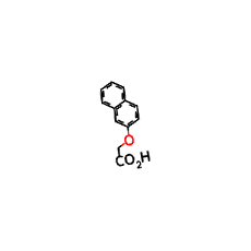 O=C(O)COc1ccc2ccccc2c1